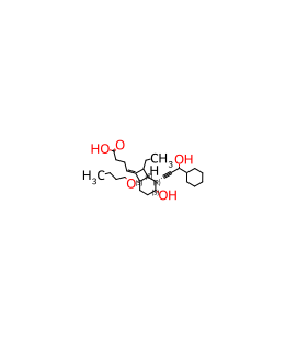 CCCCO[C@@]12CC[C@H](O)[C@@H](C#CC(O)C3CCCCC3)[C@@H]1C(CC)C2=CCCC(=O)O